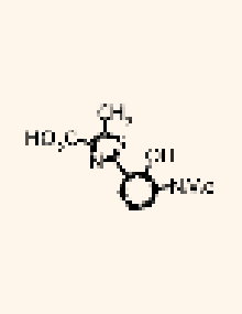 CNc1cccc(-c2nc(C(=O)O)c(C)s2)c1O